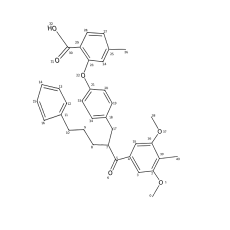 COc1cc(C(=O)C(CCCc2ccccc2)Cc2ccc(Oc3cc(C)ccc3C(=O)O)cc2)cc(OC)c1C